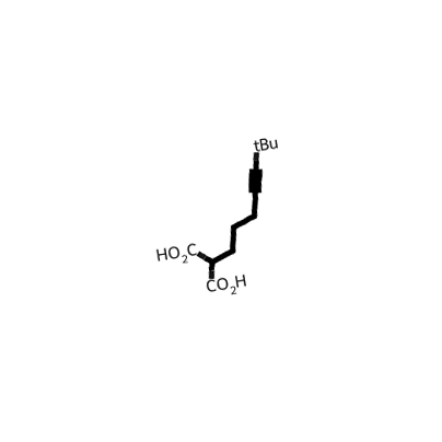 CC(C)(C)C#CCCCC(C(=O)O)C(=O)O